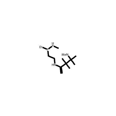 C=C(NCCP(CC)PC)C(C)(C)C(C)(C)NC